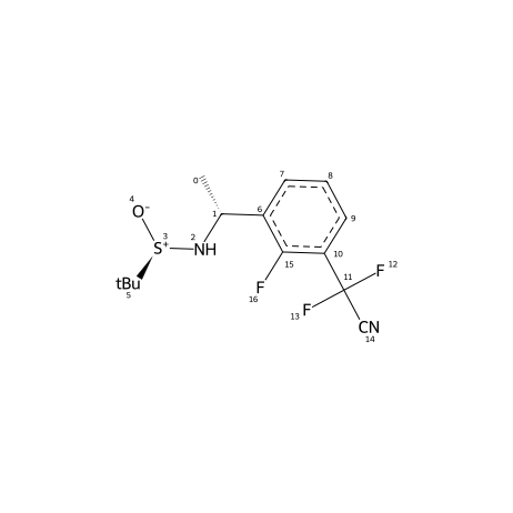 C[C@@H](N[S@+]([O-])C(C)(C)C)c1cccc(C(F)(F)C#N)c1F